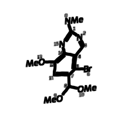 CNc1ncc2c(Br)c(C(OC)OC)cc(OC)c2n1